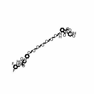 O=C1CCC(N2C(=O)c3cccc(NCCOCCOCCOCCOCCOCCOCCOc4ccc(N5CCC(O)(C(=O)NCc6cc(F)cc(F)c6)C5=O)cc4)c3C2=O)C(=O)N1